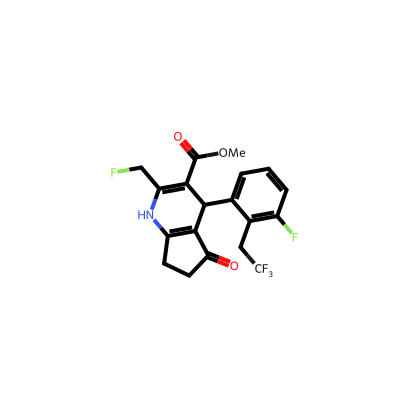 COC(=O)C1=C(CF)NC2=C(C(=O)CC2)C1c1cccc(F)c1CC(F)(F)F